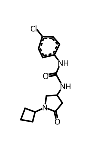 O=C(Nc1ccc(Cl)cc1)NC1CC(=O)N(C2CCC2)C1